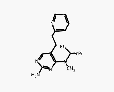 CCCC(CC)N(C)c1nc(N)ncc1CCc1ccccn1